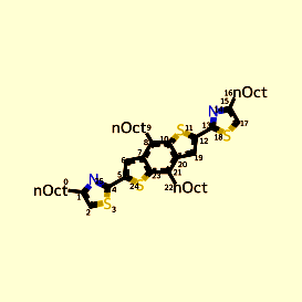 CCCCCCCCc1csc(-c2cc3c(CCCCCCCC)c4sc(-c5nc(CCCCCCCC)cs5)cc4c(CCCCCCCC)c3s2)n1